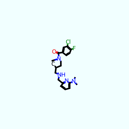 CN(C)c1cccc(CNCC2CCN(C(=O)c3ccc(F)c(Cl)c3)CC2)n1